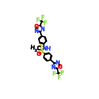 C[SH](=O)(Nc1ccc(-c2noc(C(F)(F)F)n2)cc1)c1ccc(-c2noc(C(F)(F)F)n2)cc1